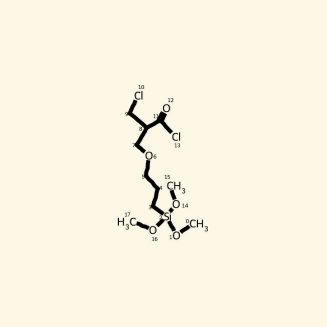 CO[Si](CCCOCC(CCl)C(=O)Cl)(OC)OC